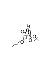 CCCCO[C@H]1C[C@](NC(=O)OC(C)(C)C)(C(=O)O)C1